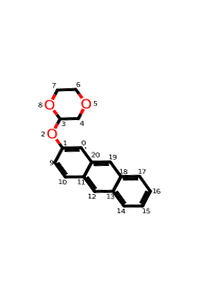 [c]1c(OC2COCCO2)ccc2cc3ccccc3cc12